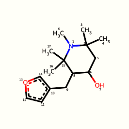 CN1C(C)(C)CC(O)C(Cc2ccoc2)C1(C)C